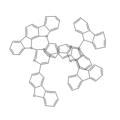 c1cc(-c2nc(C3c4ccccc4-c4ccccc43)nc(C3c4ccccc4-c4ccccc43)n2)cc(-n2c3ccccc3c3ccc4c5ccccc5n(-c5nc(-c6ccc7oc8ccccc8c7c6)cc(-c6ccc7oc8ccccc8c7c6)n5)c4c32)c1